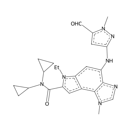 CCn1c(C(=O)N(C2CC2)C2CC2)cc2c3c(ncn3C)c(Nc3cc(C=O)n(C)n3)cc21